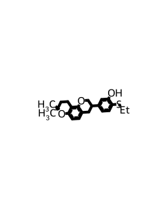 CCSc1ccc(C2COc3c(ccc4c3CCC(C)(C)O4)C2)cc1O